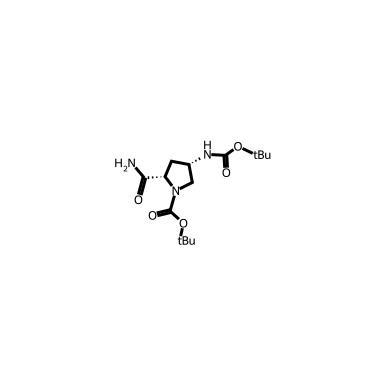 CC(C)(C)OC(=O)N[C@H]1C[C@@H](C(N)=O)N(C(=O)OC(C)(C)C)C1